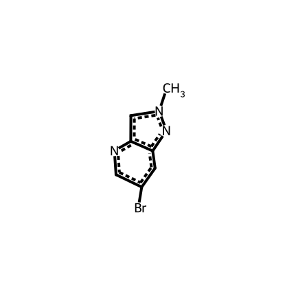 Cn1cc2ncc(Br)cc2n1